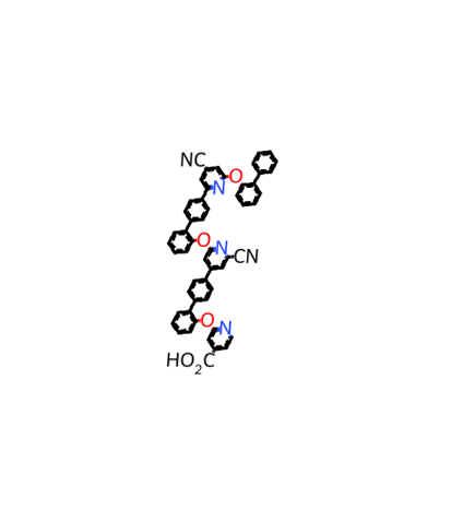 N#Cc1cc(Oc2ccccc2-c2ccccc2)nc(-c2ccc(-c3ccccc3Oc3cc(-c4ccc(-c5ccccc5Oc5cc(C(=O)O)ccn5)cc4)cc(C#N)n3)cc2)c1